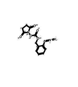 [N-]=[N+]=Nc1ccccc1COC(=O)ON1C(=O)CCC1=O